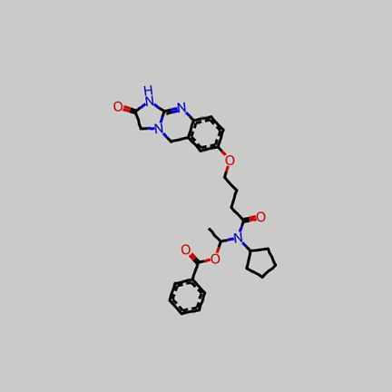 CC(OC(=O)c1ccccc1)N(C(=O)CCCOc1ccc2c(c1)CN1CC(=O)NC1=N2)C1CCCC1